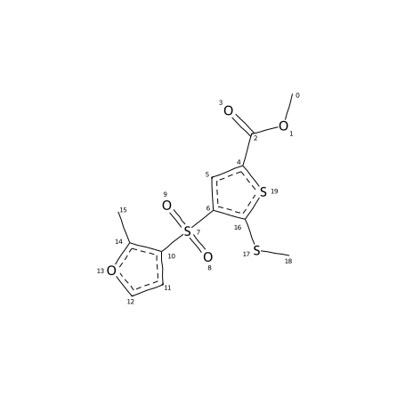 COC(=O)c1cc(S(=O)(=O)c2ccoc2C)c(SC)s1